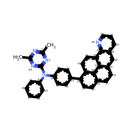 Cc1nc(C)nc(N(c2ccccc2)c2ccc(-c3ccc4ccc5cc6cccnc6c6ccc3c4c56)cc2)n1